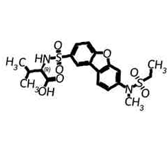 CCS(=O)(=O)N(C)c1ccc2c(c1)oc1ccc(S(=O)(=O)N[C@@H](C(=O)O)C(C)C)cc12